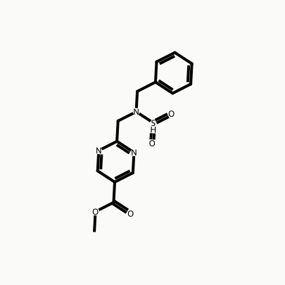 COC(=O)c1cnc(CN(Cc2ccccc2)[SH](=O)=O)nc1